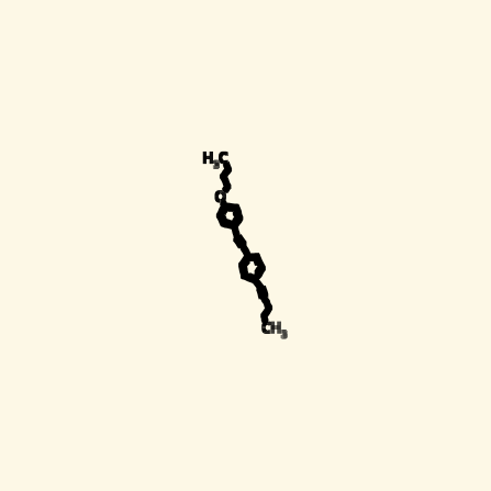 CCCC#Cc1ccc(C#Cc2ccc(OCCCC)cc2)cc1